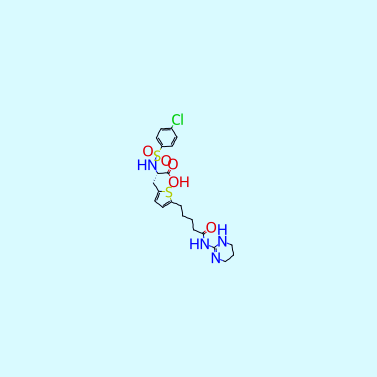 O=C(CCCCc1ccc(C[C@H](NS(=O)(=O)c2ccc(Cl)cc2)C(=O)O)s1)NC1=NCCCN1